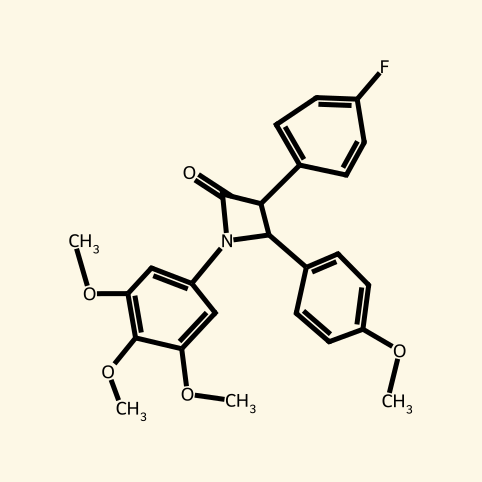 COc1ccc(C2C(c3ccc(F)cc3)C(=O)N2c2cc(OC)c(OC)c(OC)c2)cc1